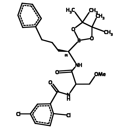 COCC(NC(=O)c1cc(Cl)ccc1Cl)C(=O)N[C@@H](CCCc1ccccc1)B1OC(C)(C)C(C)(C)O1